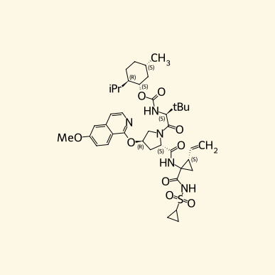 C=C[C@@H]1CC1(NC(=O)[C@@H]1C[C@@H](Oc2nccc3cc(OC)ccc23)CN1C(=O)[C@@H](NC(=O)O[C@H]1C[C@@H](C)CC[C@@H]1C(C)C)C(C)(C)C)C(=O)NS(=O)(=O)C1CC1